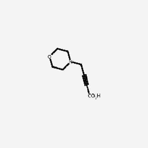 O=C(O)C#CCN1CCOCC1